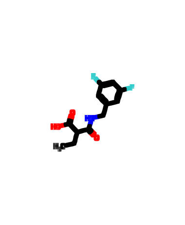 CCC(C(=O)O)C(=O)NCc1cc(F)cc(F)c1